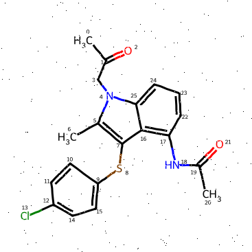 CC(=O)Cn1c(C)c(Sc2ccc(Cl)cc2)c2c(NC(C)=O)cccc21